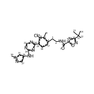 Cc1c(CCNC(=O)c2nc(C(C)(C)C)no2)ccc(-c2ncnc(Nc3cnn(C)c3)n2)c1Cl